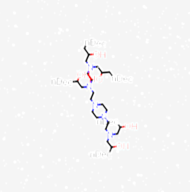 CCCCCCCCCCCC(O)CN(CCN(CCN1CCN(CCN(CC(O)CCCCCCCCCC)CC(O)CCCCCCCCCC)CC1)CC(O)CCCCCCCCCC)CC(O)CCCCCCCCCCC